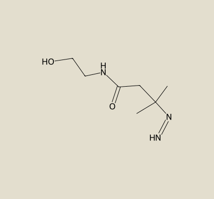 CC(C)(CC(=O)NCCO)N=N